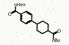 CCCCCCC(=O)c1ccc(C2CCC(C(=O)CCCC)CC2)cc1